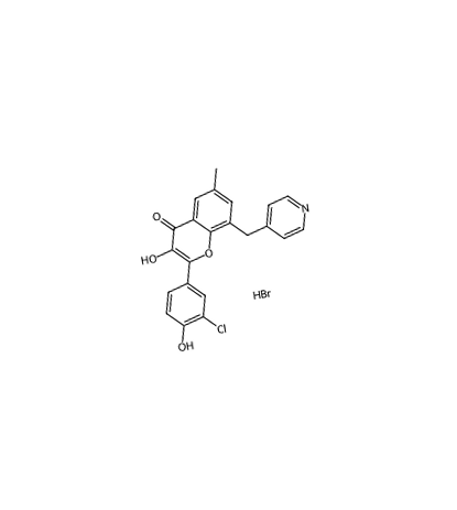 Br.Cc1cc(Cc2ccncc2)c2oc(-c3ccc(O)c(Cl)c3)c(O)c(=O)c2c1